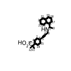 CC(NCC#Cc1ccc(C(C)(C)C(=O)O)cc1)c1cccc2ccccc12